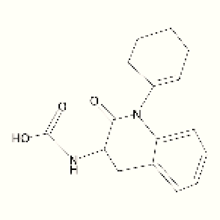 O=C(O)NC1Cc2ccccc2N(C2=CCCCC2)C1=O